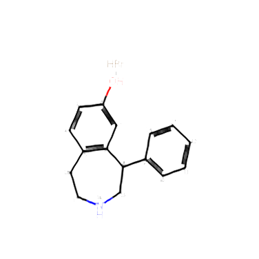 Br.Oc1ccc2c(c1)C(c1ccccc1)CNCC2